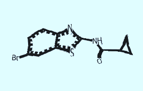 O=C(Nc1nc2ccc(Br)cc2s1)C1CC1